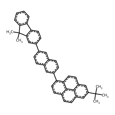 CC(C)(C)c1cc2ccc3ccc(-c4ccc5cc(-c6ccc7c(c6)C(C)(C)c6ccccc6-7)ccc5c4)c4ccc(c1)c2c34